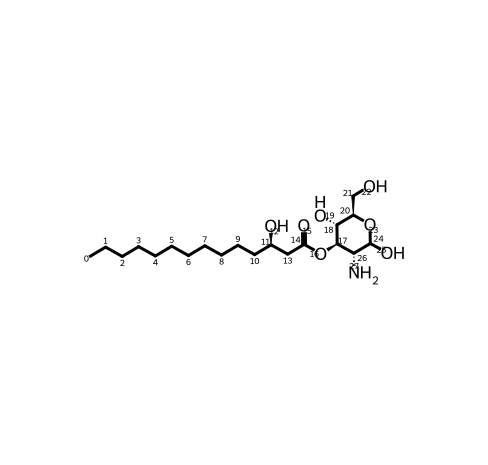 CCCCCCCCCCC[C@@H](O)CC(=O)O[C@H]1[C@H](O)[C@@H](CO)OC(O)[C@@H]1N